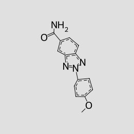 COc1ccc(-n2nc3ccc(C(N)=O)cc3n2)cc1